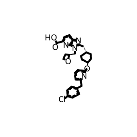 O=C(O)c1ccc2nc(C[C@H]3CC[C@H](Oc4cccc(Cc5ccc(Cl)cc5)n4)CC3)n(C[C@@H]3CCO3)c2n1